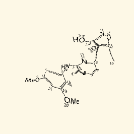 COc1cc(Nc2nccc(-c3c(O)noc3C)n2)cc(OC)c1